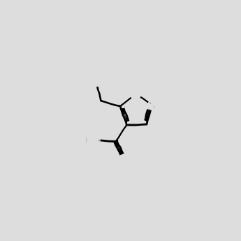 O=C(O)c1cnoc1CCl